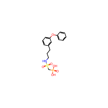 O=P(O)(O)CS(=O)(=O)NCCCc1cccc(Oc2ccccc2)c1